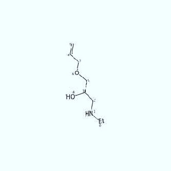 [CH2]CNCC(O)COCC=C